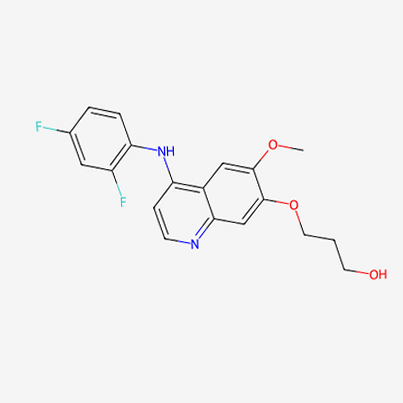 COc1cc2c(Nc3ccc(F)cc3F)ccnc2cc1OCCCO